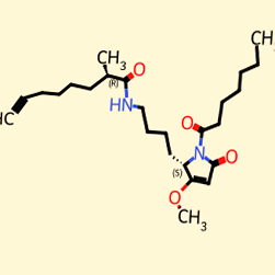 C#CCCCC[C@@H](C)C(=O)NCCCC[C@H]1C(OC)=CC(=O)N1C(=O)CCCCCC